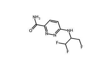 NC(=O)c1ccc(NC(CF)C(F)F)nn1